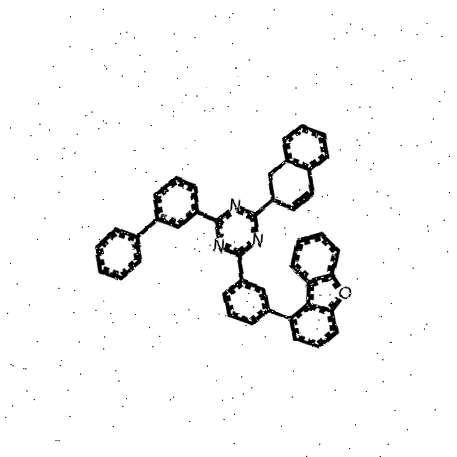 C1=CC(c2nc(-c3cccc(-c4ccccc4)c3)nc(-c3cccc(-c4cccc5oc6ccccc6c45)c3)n2)Cc2ccccc21